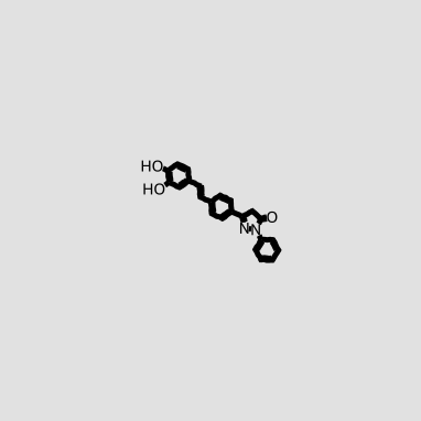 O=C1CC(c2ccc(C=Cc3ccc(O)c(O)c3)cc2)=NN1c1ccccc1